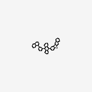 c1cc(-c2cccc3ccccc23)cc(-c2c3ccccc3c(-c3ccc4sc5cc6ccccc6cc5c4c3)c3ccccc23)c1